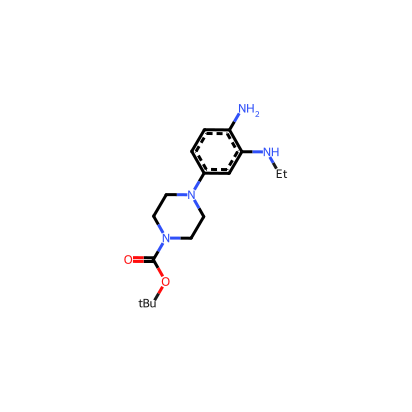 CCNc1cc(N2CCN(C(=O)OC(C)(C)C)CC2)ccc1N